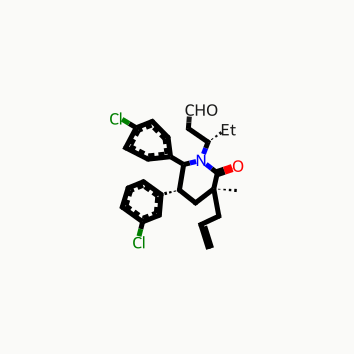 C=CC[C@@]1(C)C[C@H](c2cccc(Cl)c2)C(c2ccc(Cl)cc2)N([C@@H](CC)CC=O)C1=O